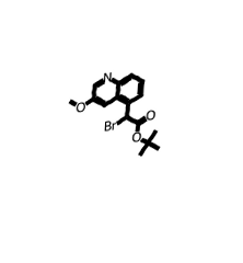 COc1cnc2cccc(C(Br)C(=O)OC(C)(C)C)c2c1